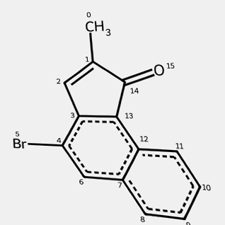 CC1=Cc2c(Br)cc3ccccc3c2C1=O